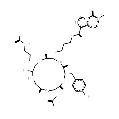 Cn1nnc2c(C(=O)NCCCC[C@@H]3NC(=O)[C@@H](Cc4ccc(O)cc4)NC(=O)[C@H](CC(=O)O)NC(=O)CNC(O)[C@H](CCCNC(=N)N)NC3=O)ncn2c1=O